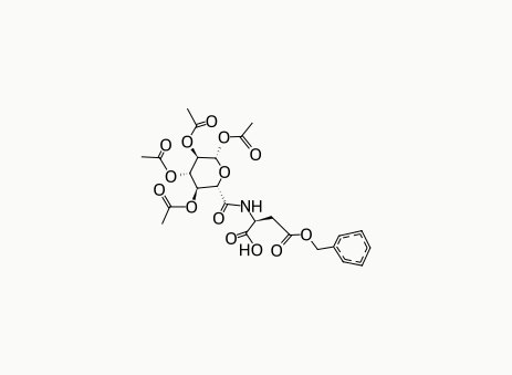 CC(=O)O[C@@H]1O[C@H](C(=O)N[C@@H](CC(=O)OCc2ccccc2)C(=O)O)[C@@H](OC(C)=O)[C@H](OC(C)=O)[C@H]1OC(C)=O